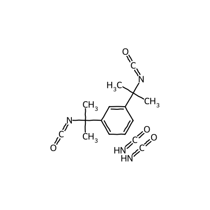 CC(C)(N=C=O)c1cccc(C(C)(C)N=C=O)c1.N=C=O.N=C=O